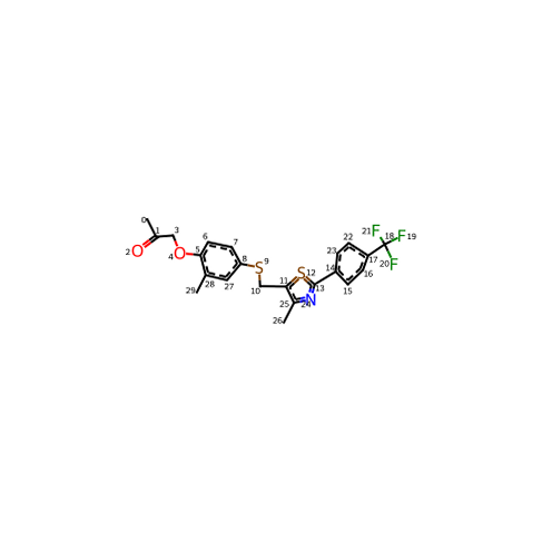 CC(=O)COc1ccc(SCc2sc(-c3ccc(C(F)(F)F)cc3)nc2C)cc1C